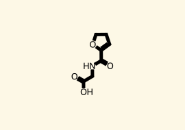 O=C(O)CNC(=O)C1=CCCO1